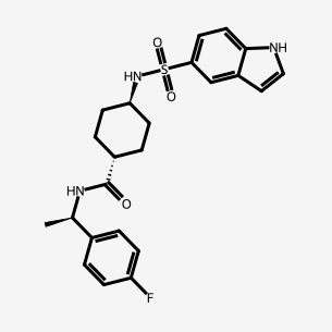 C[C@@H](NC(=O)[C@H]1CC[C@H](NS(=O)(=O)c2ccc3[nH]ccc3c2)CC1)c1ccc(F)cc1